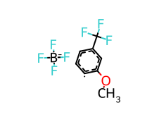 COc1[c]ccc(C(F)(F)F)c1.F[B-](F)(F)F